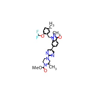 COC(=O)N1CCN(c2ncc(-c3ccc4c(=O)n(C)n(Cc5cc(C)ccc5OC(F)F)c4c3)cn2)C[C@H]1C